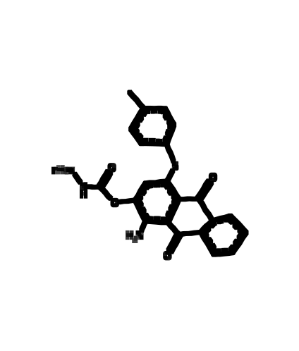 CCCCCCNC(=O)Oc1cc(Sc2ccc(C)cc2)c2c(c1N)C(=O)c1ccccc1C2=O